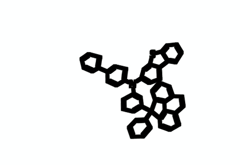 c1ccc(-c2ccc(N(c3cccc(C4(c5ccccc5)c5cccc6ccc7cccc4c7c56)c3)c3ccc4c(c3)sc3ccccc34)cc2)cc1